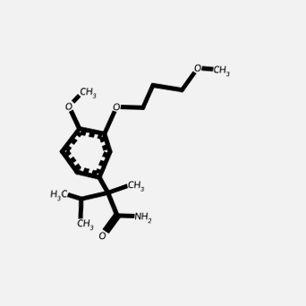 COCCCOc1cc(C(C)(C(N)=O)C(C)C)ccc1OC